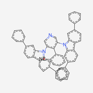 N#Cc1ccccc1-c1c(-n2c3cc(-c4ccccc4)ccc3c3ccc(-c4ccccc4)cc32)cncc1-n1c2cc(-c3ccccc3)ccc2c2ccc(-c3ccccc3)cc21